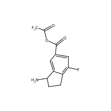 NC1CCc2c(F)cc(C(=O)OC(=O)C(F)(F)F)cc21